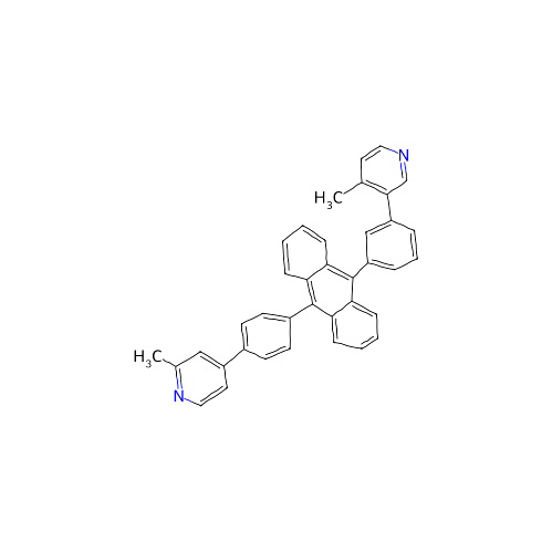 Cc1cc(-c2ccc(-c3c4ccccc4c(-c4cccc(-c5cnccc5C)c4)c4ccccc34)cc2)ccn1